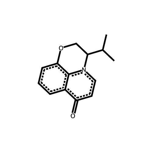 CC(C)C1COc2cccc3c(=O)ccn1c23